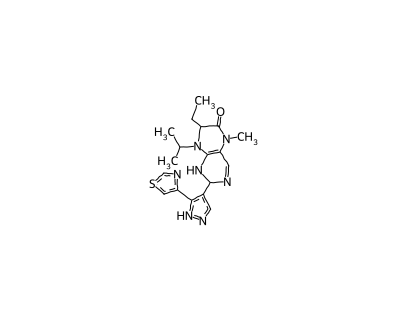 CCC1C(=O)N(C)C2=C(NC(c3cn[nH]c3-c3cscn3)N=C2)N1C(C)C